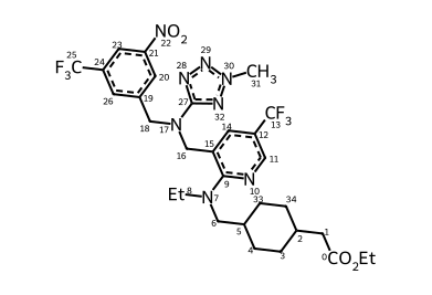 CCOC(=O)CC1CCC(CN(CC)c2ncc(C(F)(F)F)cc2CN(Cc2cc([N+](=O)[O-])cc(C(F)(F)F)c2)c2nnn(C)n2)CC1